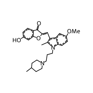 COc1ccc2c(c1)c(/C=C1\Oc3cc(O)ccc3C1=O)c(C)n2CCCN1CCC(C)CC1